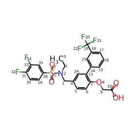 CCN(Cc1ccc(OCC(=O)O)c(-c2cccc(C(F)(F)F)c2)c1)S(=O)(=O)c1ccc(F)c(F)c1